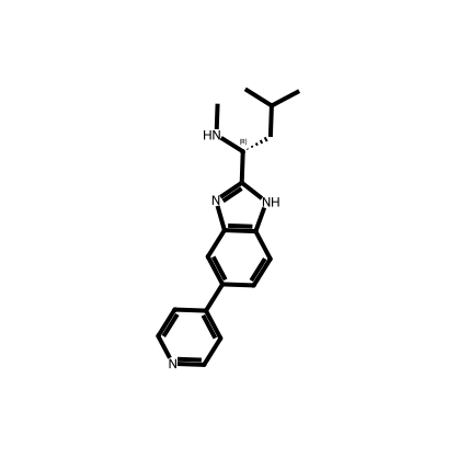 CN[C@H](CC(C)C)c1nc2cc(-c3ccncc3)ccc2[nH]1